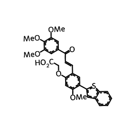 COc1cc(OCC(=O)O)c(/C=C/C(=O)c2cc(OC)c(OC)c(OC)c2)cc1-c1cc2ccccc2s1